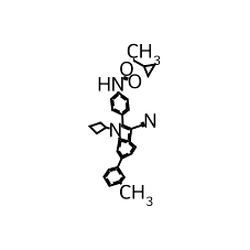 Cc1cccc(-c2ccc3c(C#N)c(-c4ccc(NC(=O)O[C@H](C)C5CC5)cc4)n(C4CCC4)c3c2)c1